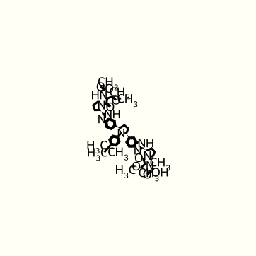 COC(=O)N[C@H](C(=O)N1CCC[C@H]1c1nc2ccc([C@H]3CC[C@H](c4ccc5nc([C@@H]6CCCN6C(=O)[C@H]([C@@H](C)OC)N(C)C(=O)O)[nH]c5c4)N3c3ccc(C(C)(C)C)cc3)cc2[nH]1)C(C)OC